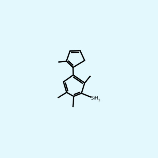 CC1=C(c2cc(C)c(C)c([SiH3])c2C)CC=C1